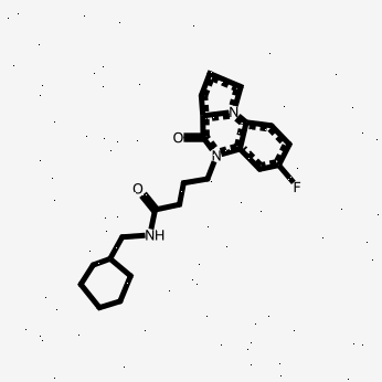 O=C(CCCn1c(=O)c2cccn2c2ccc(F)cc21)NCC1CCCCC1